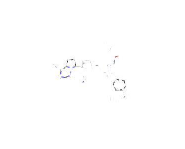 C=NC[C@@]1(c2ccc3c(N)ncnn23)O[C@H](COP(=O)(N[C@@H](C)C(=O)OCC)Oc2ccc(C(C)(C)C)cc2)[C@@H](O)[C@H]1O